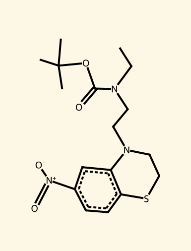 CCN(CCN1CCSc2ccc([N+](=O)[O-])cc21)C(=O)OC(C)(C)C